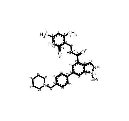 Cc1cc(C)c(CNC(=O)c2cc(-c3ccc(CN4CCCCC4)cc3)cc3c2cnn3C(C)C)c(=O)[nH]1